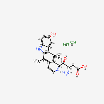 Cc1c2ccnc(C(=O)[C@@H](N)CC(=O)O)c2c(C)c2c1[nH]c1ccc(O)cc12.Cl.Cl